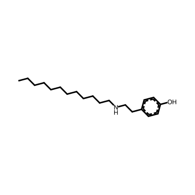 CCCCCCCCCCCCNCCc1ccc(O)cc1